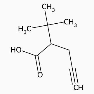 C#CCC(C(=O)O)C(C)(C)C